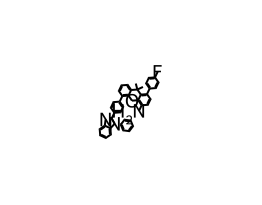 CC1(C)c2cccc(-c3ccc(-c4nc5ccccc5n4-c4ccccc4)cc3)c2Oc2c(N)ccc(-c3ccc(F)cc3)c21